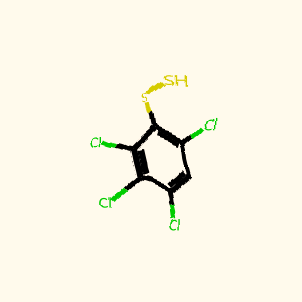 SSc1c(Cl)cc(Cl)c(Cl)c1Cl